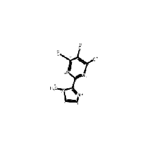 Cn1ccnc1-c1nc(Cl)c(Cl)c(Cl)n1